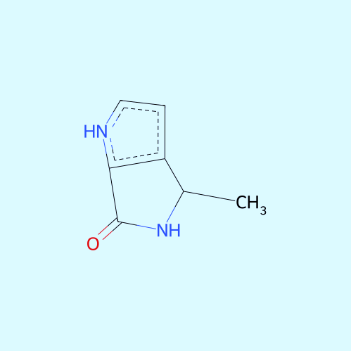 CC1NC(=O)c2[nH]ccc21